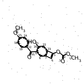 COC(=O)OC1=Cc2cc(C(=O)c3ccc(OC)cc3)c(O)cc21